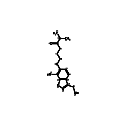 CCCc1c(OCCCC(=O)N(C)C)ccc2c(CC(C)(C)C)noc12